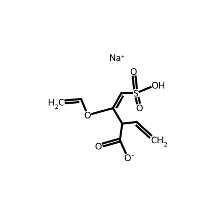 C=COC(=CS(=O)(=O)O)C(C=C)C(=O)[O-].[Na+]